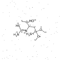 COC(CC([SiH3])(OC)OC)N=C(N)S.Cl